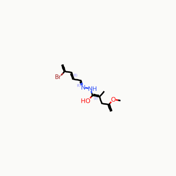 C=C(Br)/C=C/C=N/N/C(O)=C(\C)CC(=C)OC